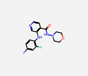 O=C(NN1CCOCC1)c1ccncc1Nc1ccc(I)cc1F